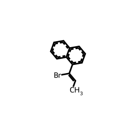 CC=C(Br)c1cccc2ccccc12